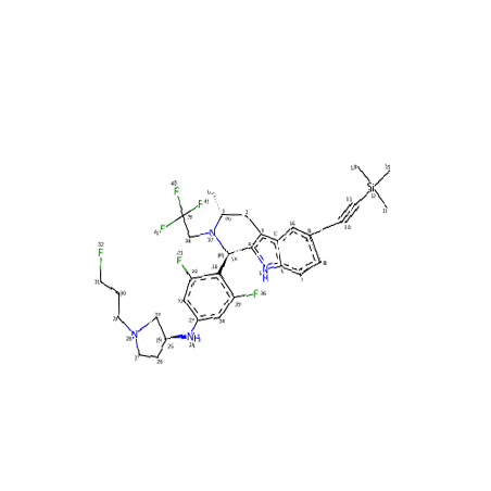 C[C@@H]1Cc2c([nH]c3ccc(C#C[Si](C)(C)C)cc23)[C@@H](c2c(F)cc(N[C@H]3CCN(CCCF)C3)cc2F)N1CC(F)(F)F